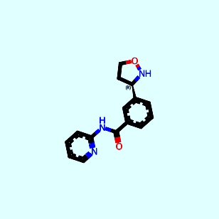 O=C(Nc1ccccn1)c1cccc([C@H]2CCON2)c1